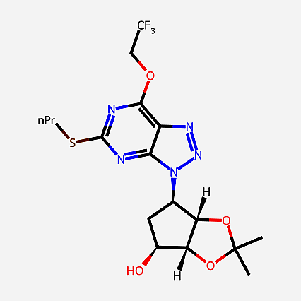 CCCSc1nc(OCC(F)(F)F)c2nnn([C@@H]3C[C@H](O)[C@H]4OC(C)(C)O[C@H]43)c2n1